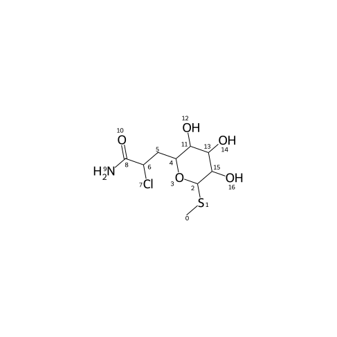 CSC1OC(CC(Cl)C(N)=O)C(O)C(O)C1O